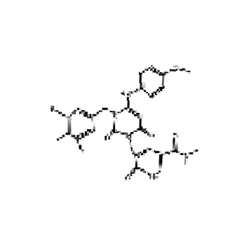 CNC(=O)c1c[nH]c(=O)c(Cn2c(=O)nc(Nc3ccc(OC)cc3)n(Cc3cc(F)c(F)c(F)c3)c2=O)c1